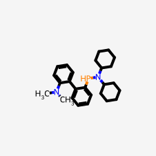 CN(C)c1ccccc1-c1ccccc1PN(C1CCCCC1)C1CCCCC1